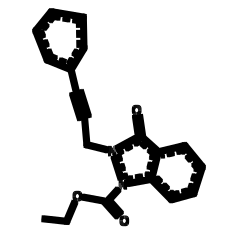 CCOC(=O)n1c2ccccc2c(=O)n1CC#Cc1ccccc1